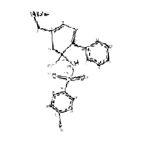 CNCC1=CC=C(c2ccccc2)C(F)(NS(=O)(=O)c2ccc(F)cc2)C1